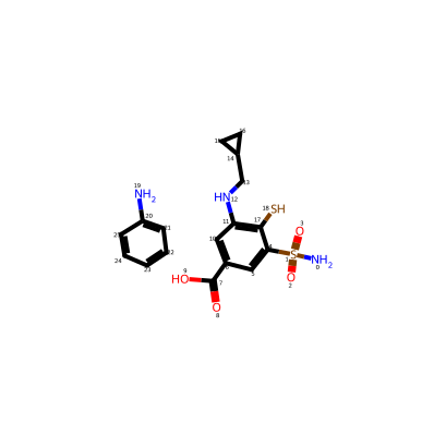 NS(=O)(=O)c1cc(C(=O)O)cc(NCC2CC2)c1S.Nc1ccccc1